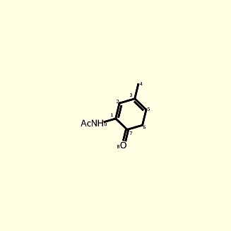 CC(=O)NC1=CC(C)=CCC1=O